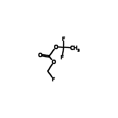 CC(F)(F)OC(=O)OCF